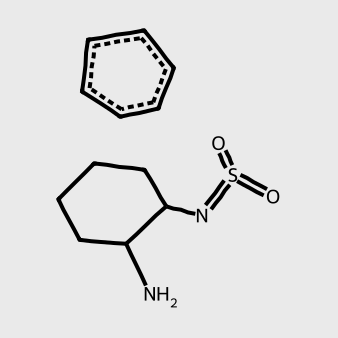 NC1CCCCC1N=S(=O)=O.c1ccccc1